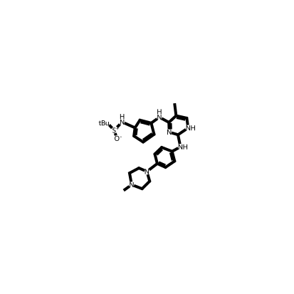 CC1=CNC(Nc2ccc(N3CCN(C)CC3)cc2)N=C1Nc1cccc(N[S+]([O-])C(C)(C)C)c1